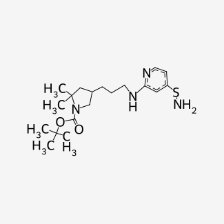 CC(C)(C)OC(=O)N1CC(CCCNc2cc(SN)ccn2)CC1(C)C